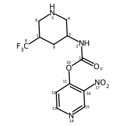 O=C(NC1CNCC(C(F)(F)F)C1)Oc1ccncc1[N+](=O)[O-]